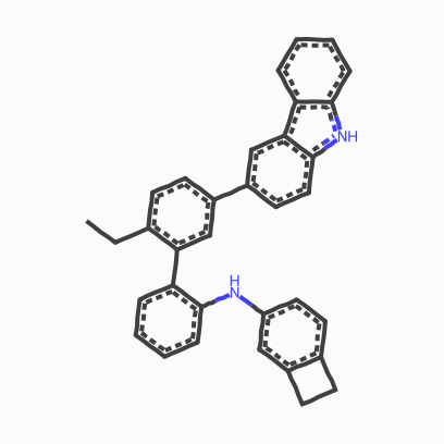 CCc1ccc(-c2ccc3[nH]c4ccccc4c3c2)cc1-c1ccccc1Nc1ccc2c(c1)CC2